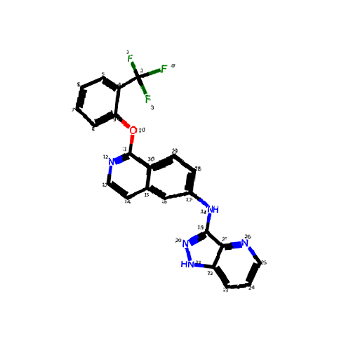 FC(F)(F)c1ccccc1Oc1nccc2cc(Nc3n[nH]c4cccnc34)ccc12